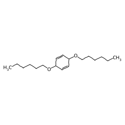 CCCCCCOC1C=CC(OCCCCCC)C=C1